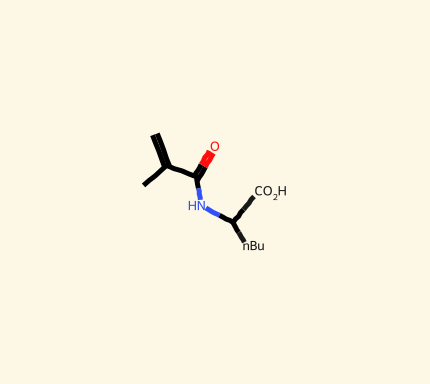 C=C(C)C(=O)NC(CCCC)C(=O)O